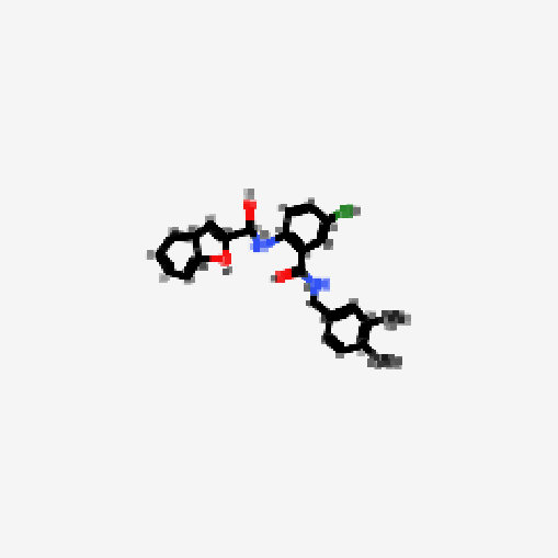 COc1ccc(CNC(=O)c2cc(Cl)ccc2NC(=O)c2cc3ccccc3o2)cc1OC